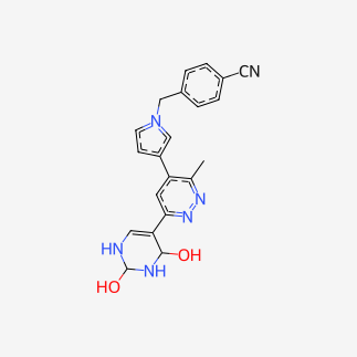 Cc1nnc(C2=CNC(O)NC2O)cc1-c1ccn(Cc2ccc(C#N)cc2)c1